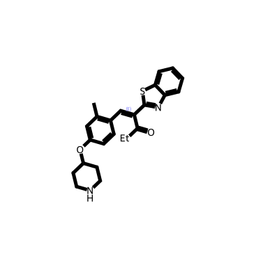 CCC(=O)/C(=C\c1ccc(OC2CCNCC2)cc1C)c1nc2ccccc2s1